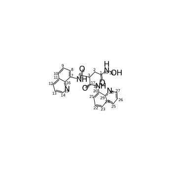 O=C(CC(C(=O)Nc1cccc2cccnc12)C(=O)Nc1cccc2cccnc12)NO